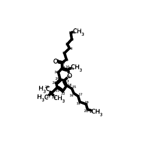 CCCCCCCC(=O)C1=C(C)Oc2c(CCCCCCC)cc(C(C)(C)C)cc2C1